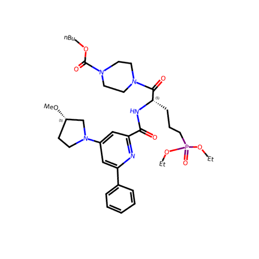 CCCCOC(=O)N1CCN(C(=O)[C@H](CCCP(=O)(OCC)OCC)NC(=O)c2cc(N3CC[C@H](OC)C3)cc(-c3ccccc3)n2)CC1